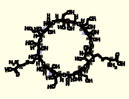 N[C@H](CSCC[C@H]1O[C@H](O)/C(O)=C(\O)[C@@H](CCO)O[C@H](O)/C(O)=C(/O)[C@@H](CCO)O[C@H]2OC(CSC[C@@H](N)C(=O)O)[C@@H](O[C@@H](O)/C(O)=C(/O)[C@@H](CCO)O[C@H]3OC(CO)[C@@H](O[C@@H](O)/C(O)=C(\O)[C@@H](CCO)O[C@H](O)/C(O)=C/1O)C(O)C3O)[C@H](O)C2O)C(=O)O